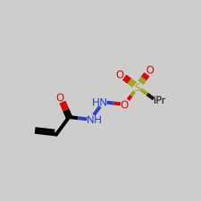 C=CC(=O)NNOS(=O)(=O)C(C)C